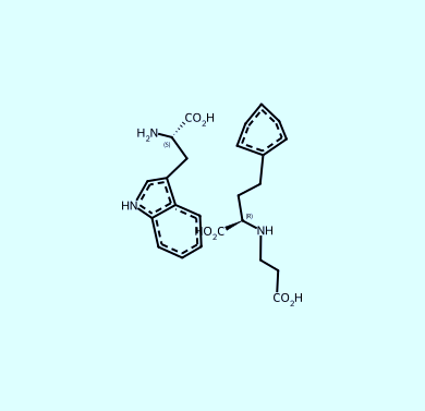 N[C@@H](Cc1c[nH]c2ccccc12)C(=O)O.O=C(O)CCN[C@H](CCc1ccccc1)C(=O)O